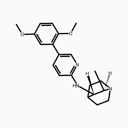 COc1ccc(OC)c(-c2ccc(N[C@H]3C4CCN(CC4)[C@@H]3C)nc2)c1